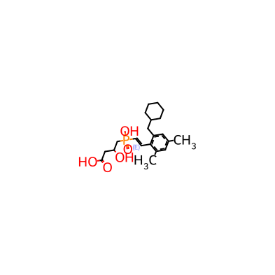 Cc1cc(C)c(/C=C/P(=O)(O)CC(O)CC(=O)O)c(CC2CCCCC2)c1